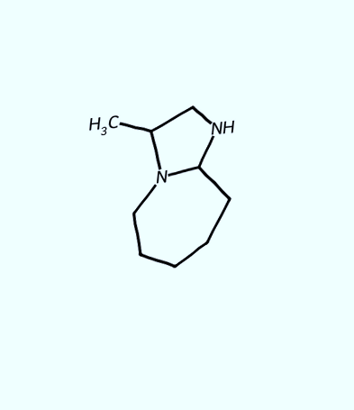 CC1CNC2CCCCCN12